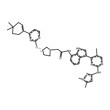 Cc1cnc(Nc2cc(C)n(C)n2)nc1-c1c[nH]c2c(NC(=O)CN3CC[C@H](Oc4nccc(C5=CCC(C)(C)CC5)n4)C3)cccc12